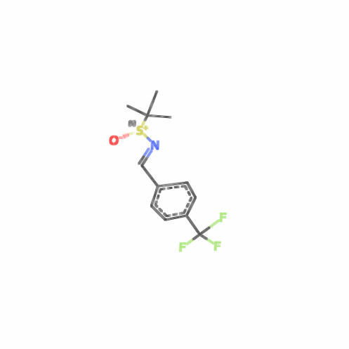 CC(C)(C)[S@@+]([O-])N=Cc1ccc(C(F)(F)F)cc1